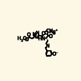 COC(=O)Cn1cc(C(=O)N[C@@H](CC/N=C/c2cccc([O-])c2)C(=O)OC)nn1.[Ag+]